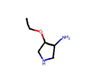 CCOC1CNCC1N